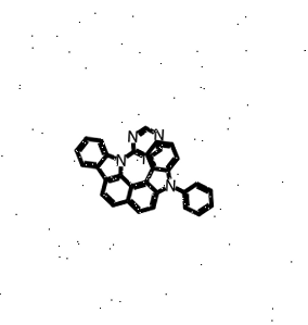 c1ccc(-n2c3ccccc3c3c4c(ccc5c6ccccc6n(-c6ncncn6)c54)ccc32)cc1